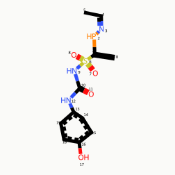 C=C(P/N=C\C)S(=O)(=O)NC(=O)Nc1ccc(O)cc1